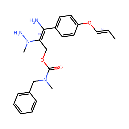 C/C=C/Oc1ccc(/C(N)=C(\COC(=O)N(C)Cc2ccccc2)N(C)N)cc1